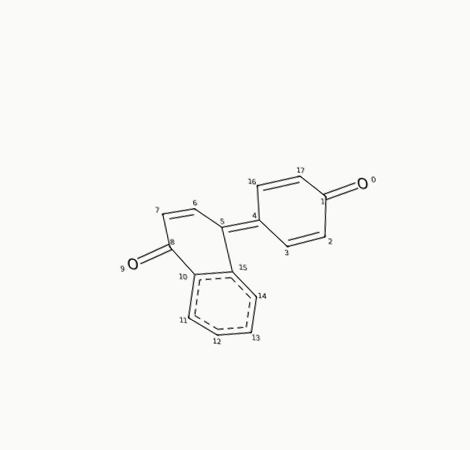 O=C1C=CC(=C2C=CC(=O)c3ccccc32)C=C1